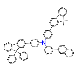 CC1(C)c2ccccc2-c2ccc(-c3ccc(N(c4ccc(-c5ccc6c(c5)C(c5ccccc5)(c5ccccc5)c5ccccc5-6)cc4)c4cccc(-c5ccc6ccccc6c5)c4)cc3)cc21